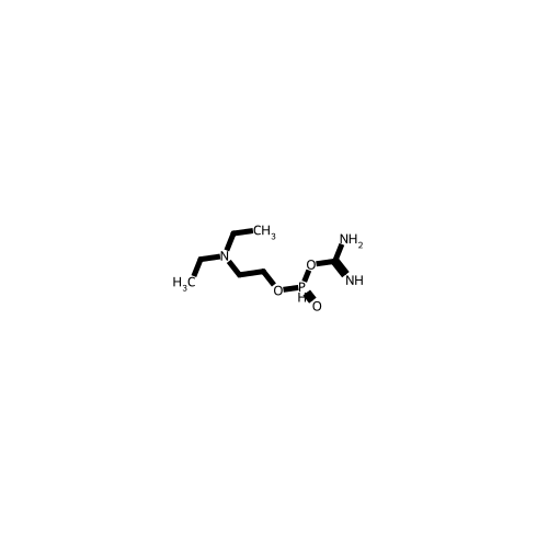 CCN(CC)CCO[PH](=O)OC(=N)N